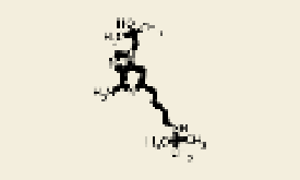 CC(C)(O)Cn1cnc2c(N)nc(CCCCNC(C)(C)C)cc21